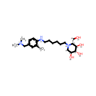 CN(C)Cc1ccc(NCCCCCCN2C[C@H](O)[C@@H](O)[C@H](O)[C@H]2CO)c([N+](=O)[O-])c1